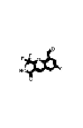 O=Cc1cc(Cl)cc2c1OC(C(F)(F)F)C(C(=O)O)=C2